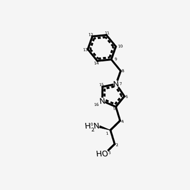 N[C@H](CO)Cc1cn(Cc2ccccc2)cn1